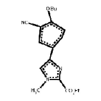 CCOC(=O)c1nc(-c2ccc(OCC(C)C)c(C#N)c2)cn1C